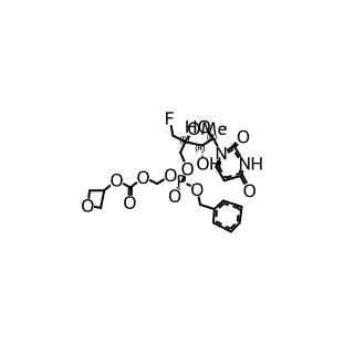 CO[C@](CF)(COP(=O)(OCOC(=O)OC1COC1)OCc1ccccc1)[C@@H](O)[C@@](C)(O)n1ccc(=O)[nH]c1=O